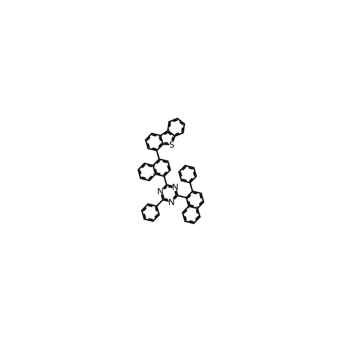 c1ccc(-c2nc(-c3c(-c4ccccc4)ccc4ccccc34)nc(-c3ccc(-c4cccc5c4sc4ccccc45)c4ccccc34)n2)cc1